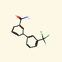 NC(=O)C1=CC(c2cccc(C(F)(F)F)c2)C=CC1